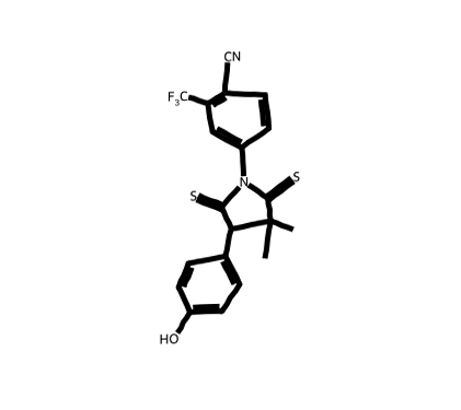 CC1(C)C(=S)N(c2ccc(C#N)c(C(F)(F)F)c2)C(=S)C1c1ccc(O)cc1